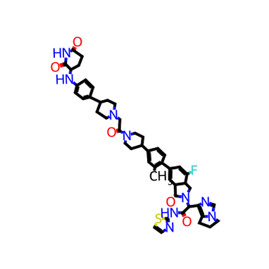 Cc1cc(C2CCN(C(=O)CN3CCC(c4ccc(NC5CCC(=O)NC5=O)cc4)CC3)CC2)ccc1C1=CC2C(=O)N(C(C(=O)Nc3nccs3)c3ncn4c3CCC4)CC2C(F)=C1